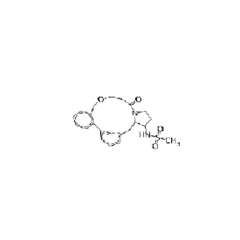 CS(=O)(=O)NC1CCN2C(=O)CCOCc3ccccc3-c3cccc(c3)CC12